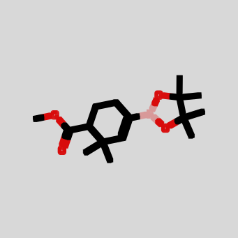 COC(=O)C1CCC(B2OC(C)(C)C(C)(C)O2)=CC1(C)C